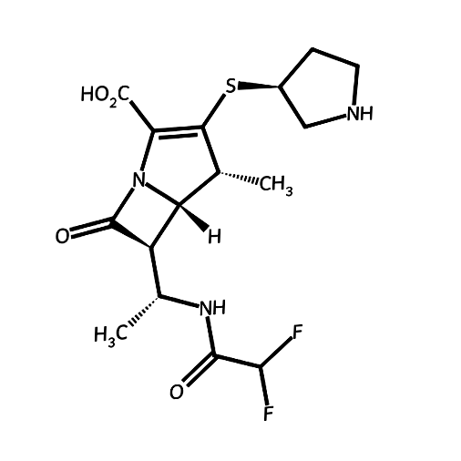 C[C@@H](NC(=O)C(F)F)[C@H]1C(=O)N2C(C(=O)O)=C(S[C@H]3CCNC3)[C@H](C)[C@H]12